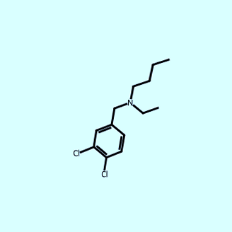 CCCCN(CC)Cc1ccc(Cl)c(Cl)c1